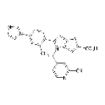 Cc1cc(-n2ccnc2)ccc1-c1cc2sc(C(=O)O)cc2n1Cc1ccnc(C#N)c1